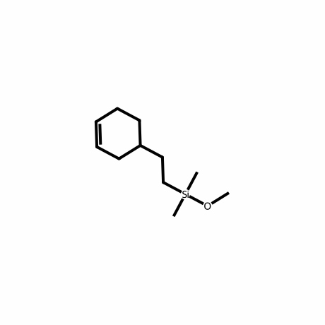 CO[Si](C)(C)CCC1CC=CCC1